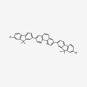 CC1(C)c2cc(F)ccc2-c2ccc(-c3cnc4c(ccc5cc(-c6ccc7c(c6)C(C)(C)c6cc(F)ccc6-7)cnc54)c3)cc21